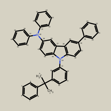 CC(C)(c1ccccc1)c1cccc(-n2c3ccc(-c4ccccc4)cc3c3cc(N(c4ccccc4)c4ccccc4)ccc32)c1